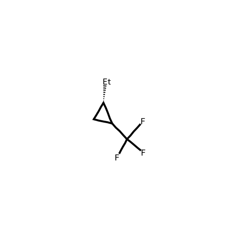 CC[C@H]1CC1C(F)(F)F